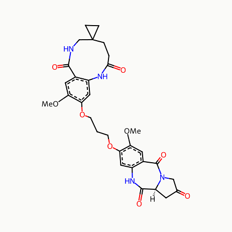 COc1cc2c(cc1OCCCOc1cc3c(cc1OC)C(=O)N1CC(=O)C[C@H]1C(=O)N3)NC(=O)CCC1(CC1)CNC2=O